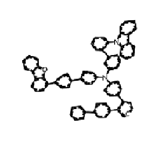 c1ccc(-c2ccc(-c3ccccc3-c3ccc(N(c4ccc(-c5ccc(-c6cccc7c6oc6ccccc67)cc5)cc4)c4cccc(-c5ccccc5-n5c6ccccc6c6ccccc65)c4)cc3)cc2)cc1